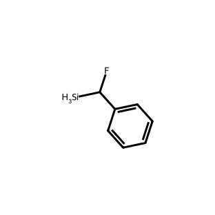 FC([SiH3])c1ccccc1